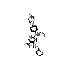 CN1CCN(c2ccc(Nc3ncc(Cl)c(NCC4CCCCO4)n3)cc2)CC1.Cl